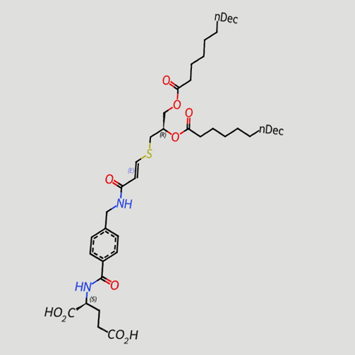 CCCCCCCCCCCCCCCC(=O)OC[C@H](CS/C=C/C(=O)NCc1ccc(C(=O)N[C@@H](CCC(=O)O)C(=O)O)cc1)OC(=O)CCCCCCCCCCCCCCC